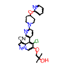 CC(C)(O)COc1cn2ncc(C#N)c2c(-c2ccc(N3CCC(Oc4ccccn4)CC3)nc2)c1Cl